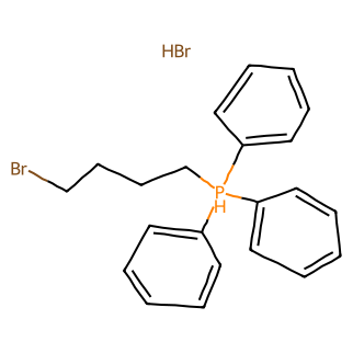 Br.BrCCCC[PH](c1ccccc1)(c1ccccc1)c1ccccc1